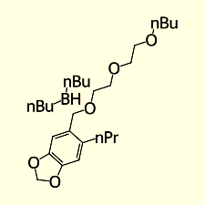 CCCCBCCCC.CCCCOCCOCCOCc1cc2c(cc1CCC)OCO2